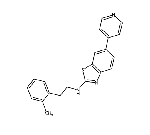 Cc1ccccc1CCNc1nc2ccc(-c3ccncc3)cc2s1